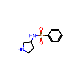 O=S(=O)(NC1CCNC1)c1ccccc1